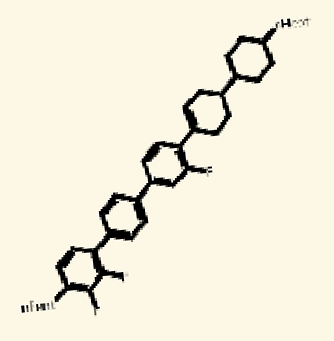 CCCCCCCC1CCC(C2CC=C(c3ccc(-c4ccc(-c5ccc(CCCCC)c(F)c5F)cc4)cc3F)CC2)CC1